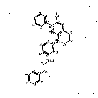 CC(=O)c1cc2c(nc1-c1ccccc1)N(c1ccnc(NCCc3ccccc3)n1)CCC2